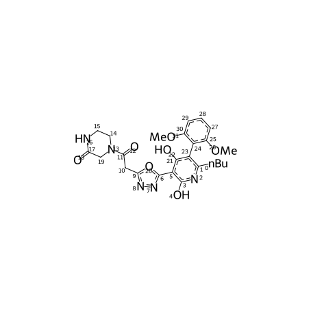 CCCCc1nc(O)c(-c2nnc(CC(=O)N3CCNC(=O)C3)o2)c(O)c1-c1c(OC)cccc1OC